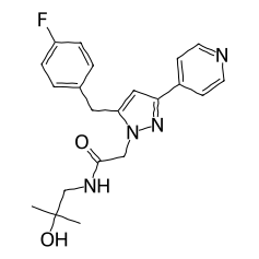 CC(C)(O)CNC(=O)Cn1nc(-c2ccncc2)cc1Cc1ccc(F)cc1